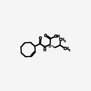 CC(C)C[C@H](NC(=O)C1C=CCCCCC1)C(=O)O